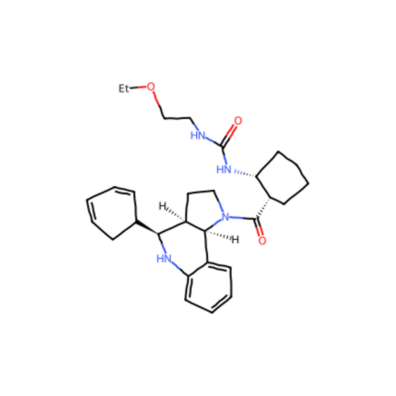 CCOCCNC(=O)N[C@@H]1CCCC[C@@H]1C(=O)N1CC[C@@H]2[C@H](C3C=CC=CC3)Nc3ccccc3[C@@H]21